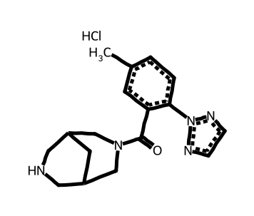 Cc1ccc(-n2nccn2)c(C(=O)N2CC3CNCC(C3)C2)c1.Cl